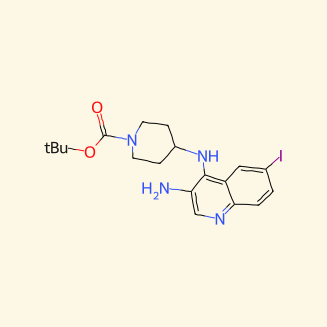 CC(C)(C)OC(=O)N1CCC(Nc2c(N)cnc3ccc(I)cc23)CC1